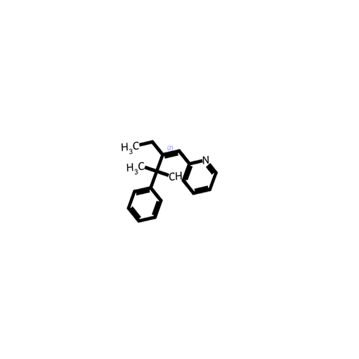 CC/C(=C/c1ccccn1)C(C)(C)c1ccccc1